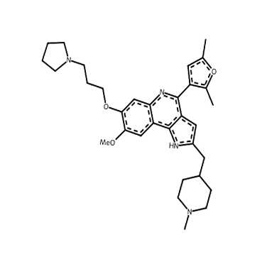 COc1cc2c(cc1OCCCN1CCCC1)nc(-c1cc(C)oc1C)c1cc(CC3CCN(C)CC3)[nH]c12